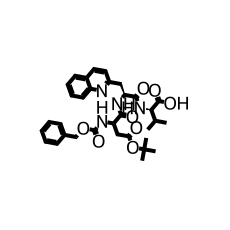 CC(C)[C@H](NC(=O)[C@H](Cc1ccc2ccccc2n1)NC(=O)C(CC(=O)OC(C)(C)C)NC(=O)OCc1ccccc1)C(=O)O